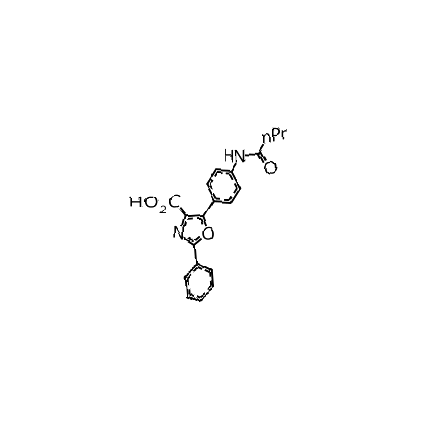 CCCC(=O)Nc1ccc(-c2oc(-c3ccccc3)nc2C(=O)O)cc1